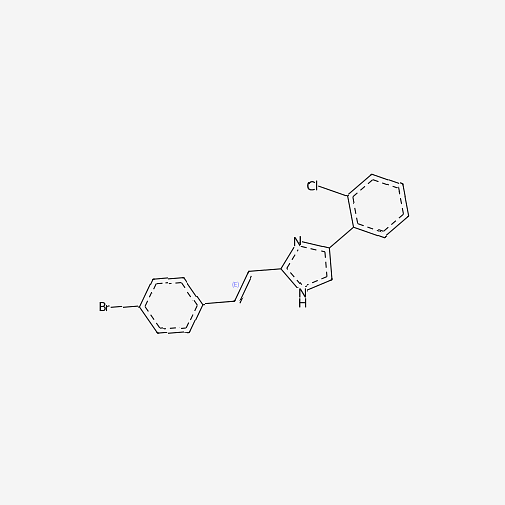 Clc1ccccc1-c1c[nH]c(/C=C/c2ccc(Br)cc2)n1